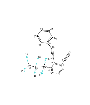 C#Cc1cccc(C(F)(F)C(F)(F)C(F)F)c1C#Cc1ccccc1